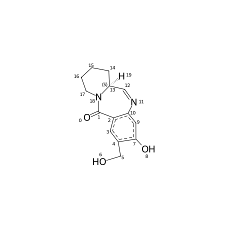 O=C1c2cc(CO)c(O)cc2N=C[C@@H]2CCCCN12